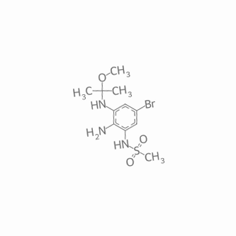 COC(C)(C)Nc1cc(Br)cc(NS(C)(=O)=O)c1N